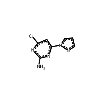 Nc1nc(Cl)cc(-n2cccn2)n1